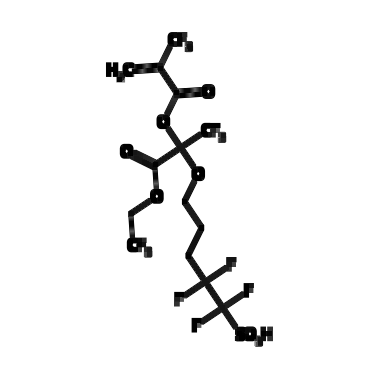 C=C(C(=O)OC(OCCCC(F)(F)C(F)(F)S(=O)(=O)O)(C(=O)OCC(F)(F)F)C(F)(F)F)C(F)(F)F